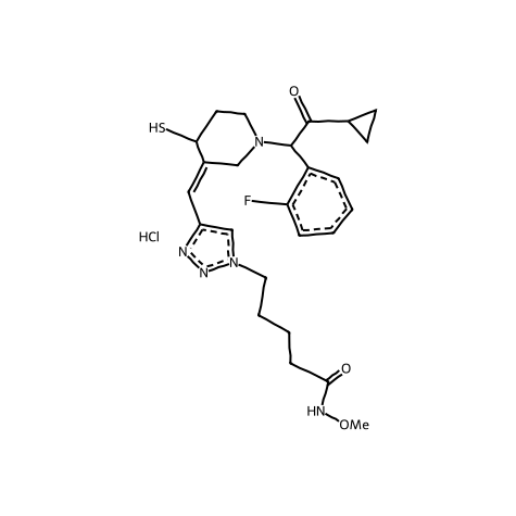 CONC(=O)CCCCn1cc(/C=C2\CN(C(C(=O)C3CC3)c3ccccc3F)CCC2S)nn1.Cl